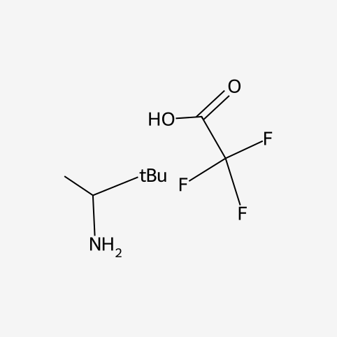 CC(N)C(C)(C)C.O=C(O)C(F)(F)F